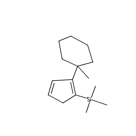 CC1(C2=C([Si](C)(C)C)CC=C2)CCCCC1